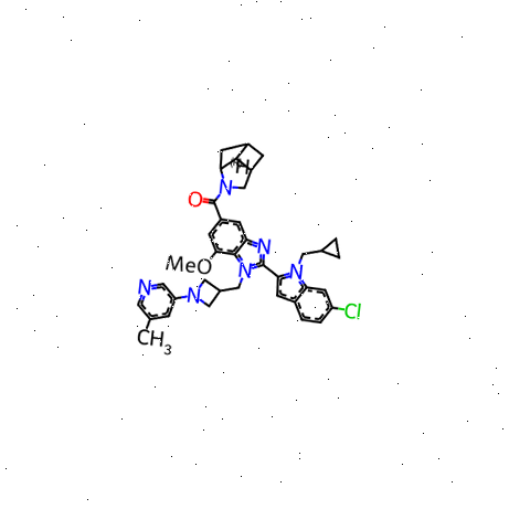 COc1cc(C(=O)N2CC3CC4CC2[C@H]43)cc2nc(-c3cc4ccc(Cl)cc4n3CC3CC3)n(CC3CN(c4cncc(C)c4)C3)c12